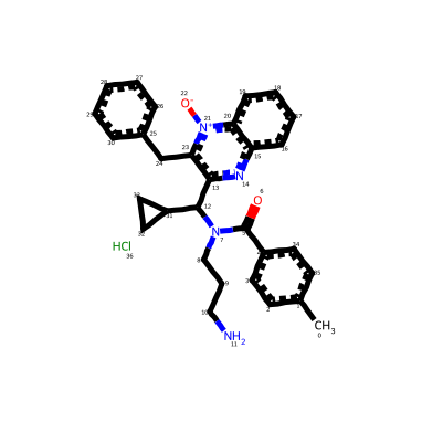 Cc1ccc(C(=O)N(CCCN)C(c2nc3ccccc3[n+]([O-])c2Cc2ccccc2)C2CC2)cc1.Cl